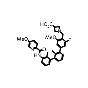 COc1ccc(C(=O)Nc2cccc(-c3cccc(-c4cc(F)c(CN5CC(C(=O)O)C5)c(OC)c4)c3C)c2C)nc1